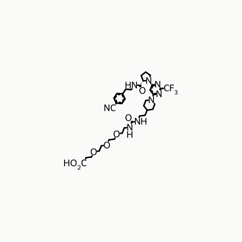 N#Cc1ccc(CCNC(=O)[C@@H]2CCCN2c2cc(N3CCC(CCNC(=O)NCCOCCOCCOCCC(=O)O)CC3)nc(C(F)(F)F)n2)cc1